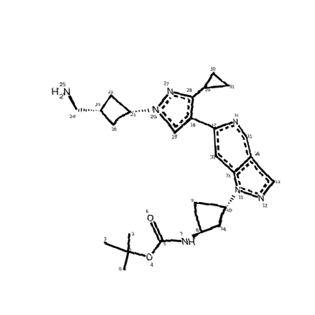 CC(C)(C)OC(=O)N[C@H]1C[C@H](n2ncc3cnc(-c4cn([C@H]5C[C@@H](CN)C5)nc4C4CC4)cc32)C1